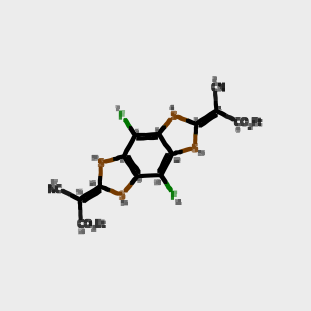 CCOC(=O)C(C#N)=C1Sc2c(F)c3c(c(F)c2S1)SC(=C(C#N)C(=O)OCC)S3